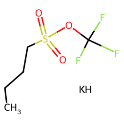 CCCCS(=O)(=O)OC(F)(F)F.[KH]